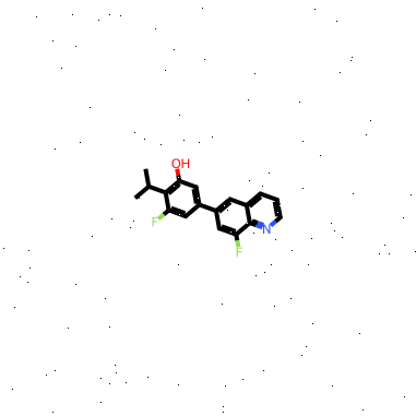 CC(C)c1c(O)cc(-c2cc(F)c3ncccc3c2)cc1F